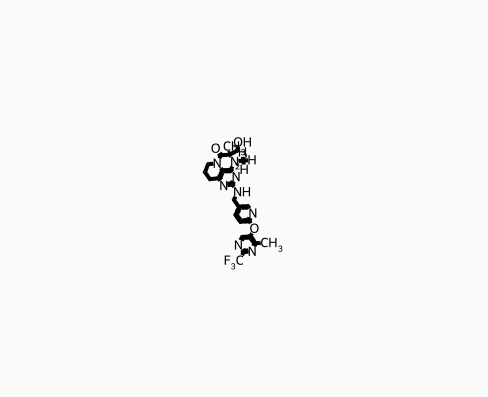 [2H]C([2H])([2H])N1c2nc(NCc3ccc(Oc4cnc(C(F)(F)F)nc4C)nc3)nc3c2N(CCC3)C(=O)[C@]1(C)CO